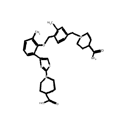 Cc1cc(CN2CCC(C(N)=O)CC2)ccc1COc1c(C)cccc1-c1csc(N2CCC(C(=O)O)CC2)n1